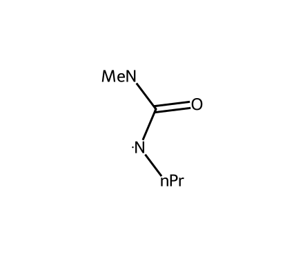 CCC[N]C(=O)NC